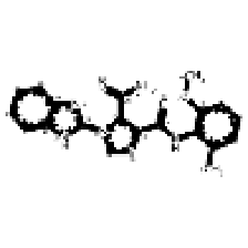 COc1cccc(C)c1NC(=O)c1ncn(-c2nc3ccccc3[nH]2)c1C(N)=O